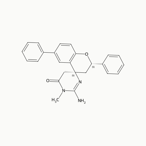 CN1C(=O)C[C@]2(C[C@@H](c3ccccc3)Oc3ccc(-c4ccccc4)cc32)N=C1N